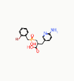 Nc1ccc(CC(CP(=O)(O)Cc2ccccc2Br)C(=O)O)cn1